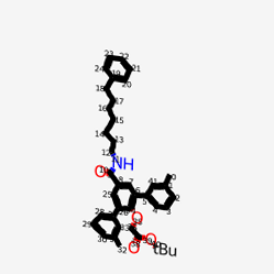 Cc1cccc(-c2cc(C(=O)NCCCCCCCc3ccccc3)cc(-c3cccc(C)c3)c2OCC(=O)OC(C)(C)C)c1